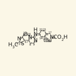 CCC(C)c1nc(C)sc1-c1ccnc(Nc2ccc(CN(C(=O)O)C(C)(C)C)cc2)n1